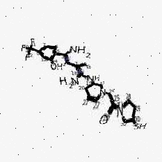 CC(/C=C(\N)c1ccc(C(F)(F)F)cc1O)=C(/N)NC1CCCN(CC(=O)N2CCC(S)C2)C1